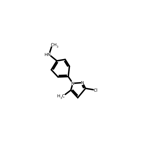 CNc1ccc(-n2nc(Cl)cc2C)cc1